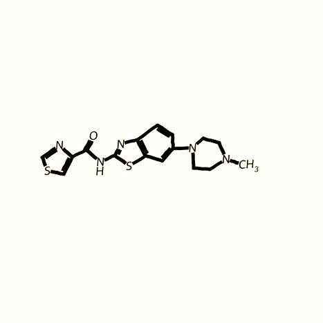 CN1CCN(c2ccc3nc(NC(=O)c4cscn4)sc3c2)CC1